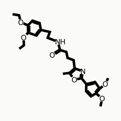 CCOc1ccc(CCNC(=O)CCCc2nc(-c3ccc(OC)c(OC)c3)oc2C)cc1OCC